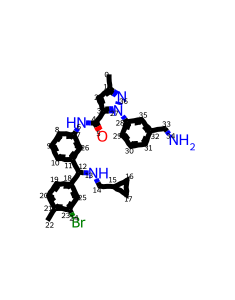 Cc1cc(C(=O)Nc2cccc(C(NCC3CC3)c3ccc(C)c(Br)c3)c2)n(-c2cccc(CN)c2)n1